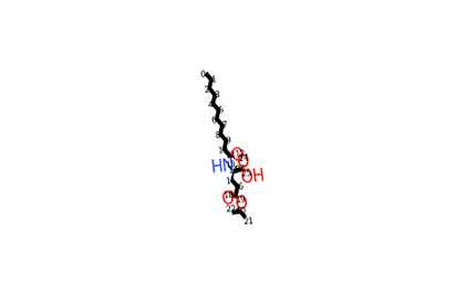 CCCCCCCCCCCC(=O)N[C@H](CCC(=O)OC(C)C)C(=O)O